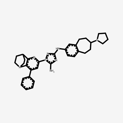 Nc1nc(Nc2ccc3c(c2)CCC(N2CCCC2)CC3)nn1-c1cc(-c2ccccc2)c2c(n1)C1CCN2CC1